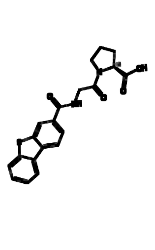 O=C(NCC(=O)N1CCC[C@H]1C(=O)O)c1ccc2c(c1)sc1ccccc12